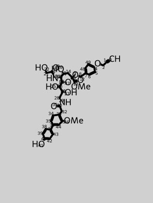 C#CCOc1ccc(CO[C@]2(C(=O)OC)C[C@H](O)[C@@H](NC(=O)CO)[C@H]([C@H](O)[C@H](O)CNC(=O)Cc3ccc(-c4ccc(O)cc4)cc3OC)O2)cc1